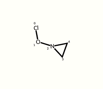 ClON1CC1